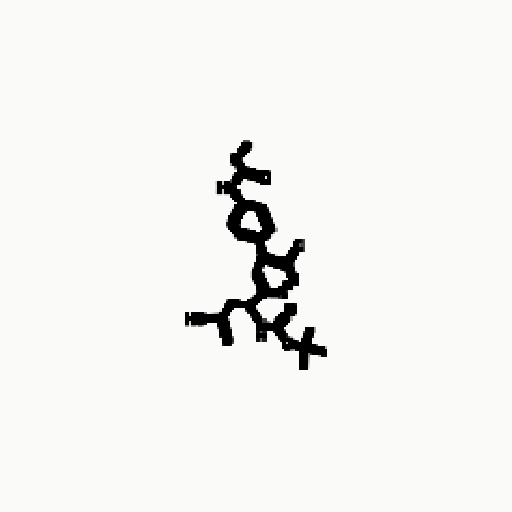 COC(=O)Nc1ccc(-c2cc([C@H](CC(=O)O)NC(=O)OC(C)(C)C)nnc2Cl)cc1